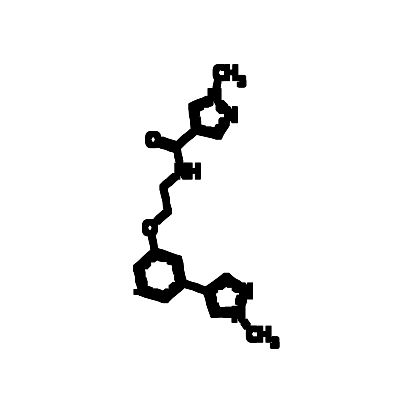 Cn1cc(C(=O)NCCOc2c[c]cc(-c3cnn(C)c3)c2)cn1